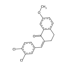 COc1ccc2c(c1)C(=O)C(=Cc1ccc(Cl)c(Cl)c1)CC2